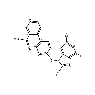 CCc1nc2c(C)cc(N)cc2n1Cc1ccc(-c2ccccc2C(=O)OC)cc1